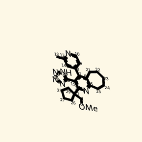 COCC1(c2nc3c(c(-c4ccnc(C)c4)c2-c2nnn[nH]2)CCCCC3)CCCC1